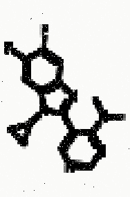 CN(C)c1ncncc1-c1nc2cc(F)c(F)cc2n1C1CC1